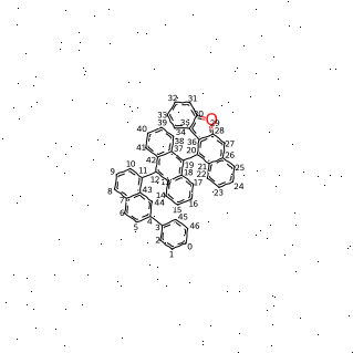 c1ccc(-c2ccc3cccc(-c4c5ccccc5c(-c5c6ccccc6cc6oc7ccccc7c56)c5ccccc45)c3c2)cc1